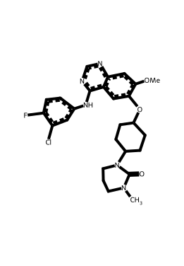 COc1cc2ncnc(Nc3ccc(F)c(Cl)c3)c2cc1OC1CCC(N2CCCN(C)C2=O)CC1